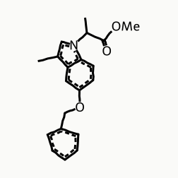 COC(=O)C(C)n1cc(C)c2cc(OCc3ccccc3)ccc21